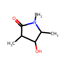 BN1C(=O)C(C)C(O)C1C